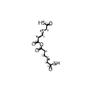 O=C(S)CSCCC(=O)OC(=O)CCSCC(=O)S